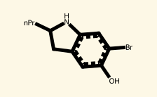 CCCC1Cc2cc(O)c(Br)cc2N1